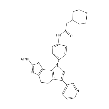 CC(=O)Nc1nc2c(s1)-c1c(c(-c3cccnc3)nn1-c1ccc(NC(=O)CC3CCOCC3)cc1)CC2